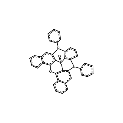 O=P12c3c4cccc3N(c3ccccc3)c3cc5ccccc5c(c31)Oc1c2c(cc2ccccc12)N4c1ccccc1